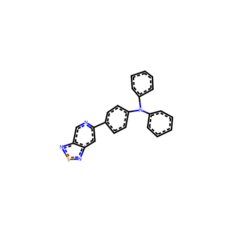 c1ccc(N(c2ccccc2)c2ccc(-c3cc4nsnc4cn3)cc2)cc1